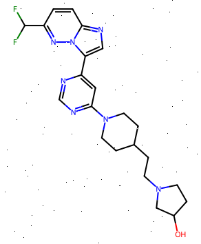 OC1CCN(CCC2CCN(c3cc(-c4cnc5ccc(C(F)F)nn45)ncn3)CC2)C1